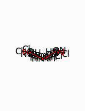 CN1Cc2c(Cl)cc(Cl)cc2C(c2ccc(S(=O)(=O)NCCOCCOCCNC(=O)Nc3ccc(NC(=O)NCCOCCOCCNS(=O)(=O)c4ccc(C5CN(C)CC6C(Cl)CC(Cl)CC56)cc4)cc3)cc2)C1